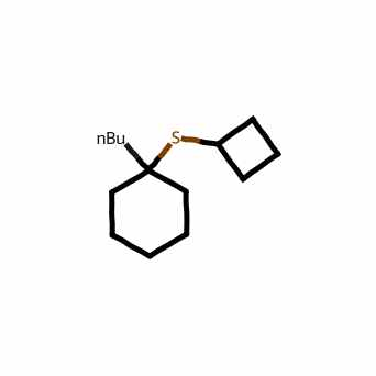 CCCCC1(SC2CCC2)CCCCC1